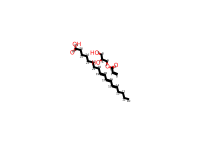 C=CC(=O)OCC(O)CO.CCCCC=CC=CC=CCCCCCCCC(=O)O